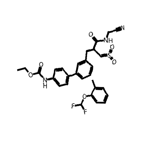 CCOC(=O)Nc1ccc(-c2cccc(CC(C=S(=O)=O)C(=O)NCC#N)c2)cc1.Cc1ccccc1OC(F)F